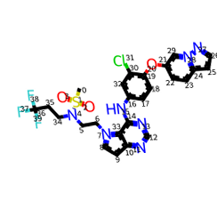 CS(=O)(=O)N(CCn1ccc2ncnc(Nc3ccc(Oc4ccc5ccnn5c4)c(Cl)c3)c21)CCC(F)(F)F